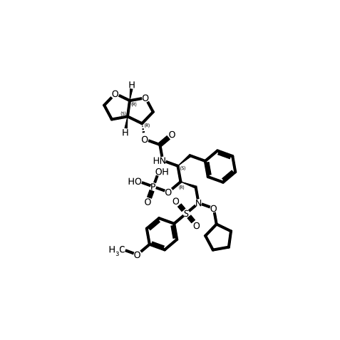 COc1ccc(S(=O)(=O)N(C[C@@H](OP(=O)(O)O)[C@H](Cc2ccccc2)NC(=O)O[C@H]2CO[C@H]3OCC[C@H]32)OC2CCCC2)cc1